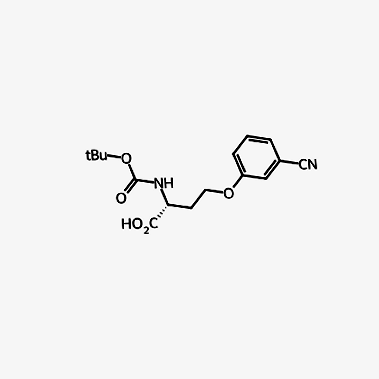 CC(C)(C)OC(=O)N[C@H](CCOc1cccc(C#N)c1)C(=O)O